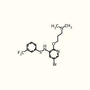 CN(C)CCCOc1ncc(Br)cc1NSc1cccc(C(F)(F)F)c1